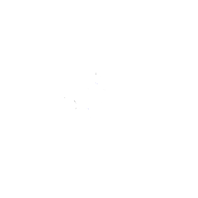 BN([C@@H](C)C(=O)N1CCC[C@H]1C(=O)O)[C@@H](CCc1ccccc1)C(=O)O